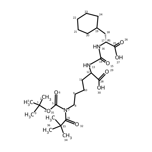 CC(C)(C)OC(=O)N(CCCCC(NC(=O)N[C@H](CC1CCCCC1)C(=O)O)C(=O)O)C(=O)C(C)(C)C